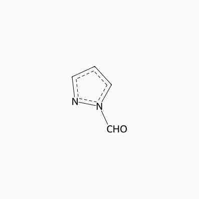 O=Cn1cccn1